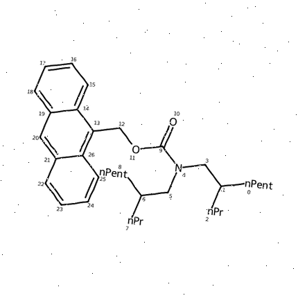 CCCCCC(CCC)CN(CC(CCC)CCCCC)C(=O)OCc1c2ccccc2cc2ccccc12